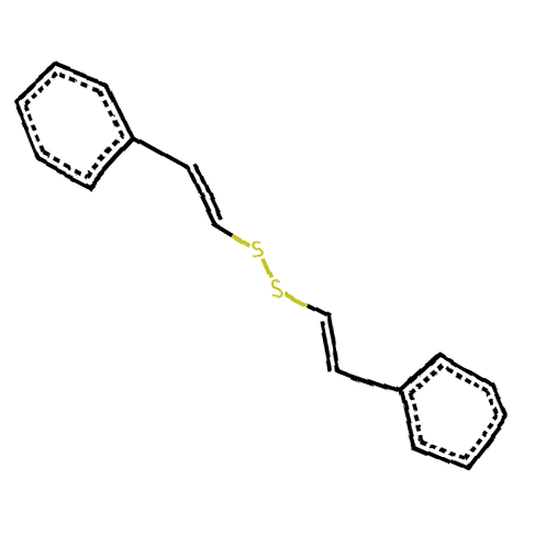 C(=C\c1ccccc1)/SS/C=C/c1ccccc1